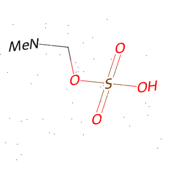 CNCOS(=O)(=O)O